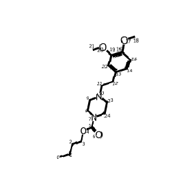 CCCCOC(=O)N1CCN(CCc2ccc(OC)c(OC)c2)CC1